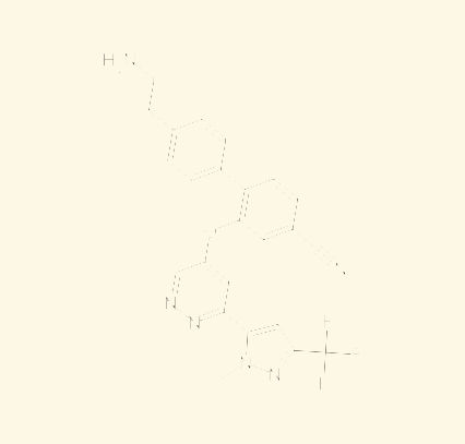 Cn1nc(C(F)(F)F)cc1-c1cc(Oc2cc(C#N)ccc2-c2ccc(CCN)cc2)cnn1